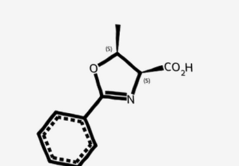 C[C@@H]1OC(c2ccccc2)=N[C@@H]1C(=O)O